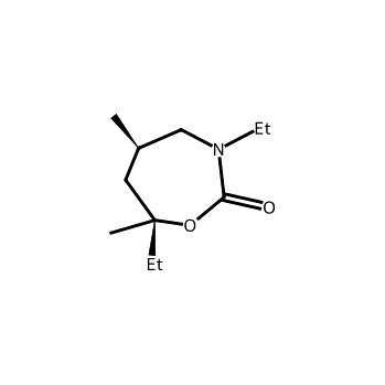 CCN1C[C@H](C)C[C@](C)(CC)OC1=O